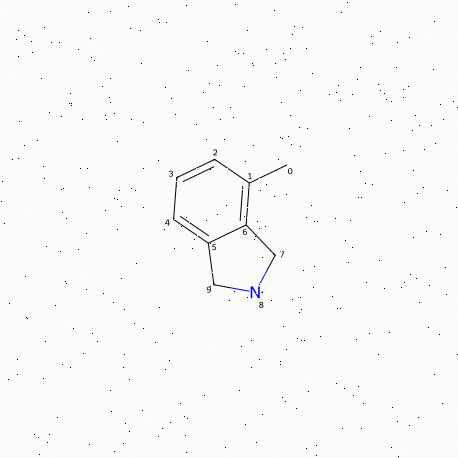 Cc1cccc2c1C[N]C2